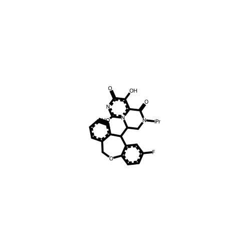 CC(C)N1CC(C2c3c#cccc3COc3ccc(F)cc32)n2c(O)nc(=O)c(O)c2C1=O